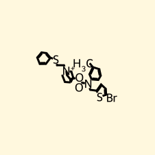 Cc1cccc(N(Cc2ccc(Br)s2)C(=O)OC2C[N+]3(CCSc4ccccc4)CCC2CC3)c1